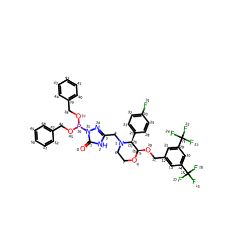 O=c1[nH]c(CN2CCO[C@H](OCc3cc(C(F)(F)F)cc(C(F)(F)F)c3)[C@@H]2c2ccc(F)cc2)nn1P(OCc1ccccc1)OCc1ccccc1